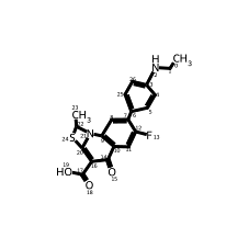 CCNc1ccc(-c2cc3c(cc2F)c(=O)c(C(=O)O)c2n3C(C)S2)cc1